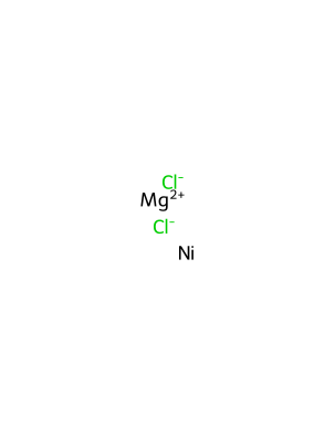 [Cl-].[Cl-].[Mg+2].[Ni]